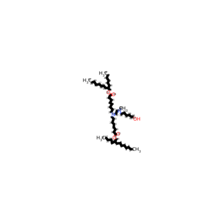 CCCCCCCCC(CCCCC)COC(=O)CCCCCCCN(CCCCCCCC(=O)OCC(CCCCCC)CCCCCCCC)CCN(C)CCCCCCO